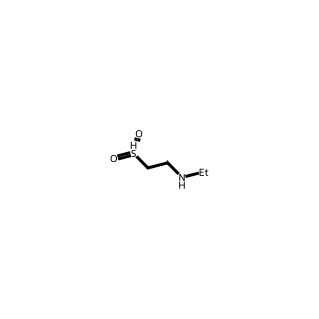 CCN[CH]C[SH](=O)=O